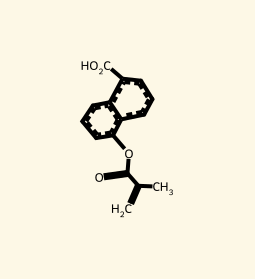 C=C(C)C(=O)Oc1cccc2c(C(=O)O)cccc12